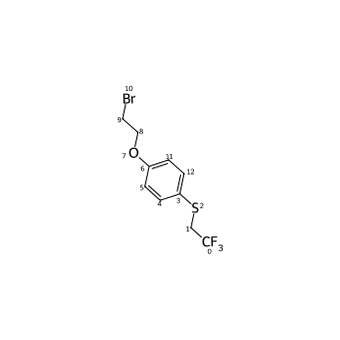 FC(F)(F)CSc1ccc(OCCBr)cc1